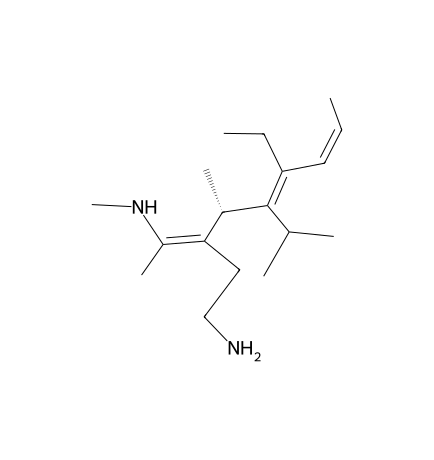 C/C=C\C(CC)=C(/C(C)C)[C@@H](C)/C(CCN)=C(/C)NC